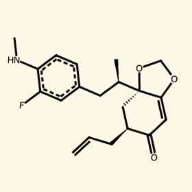 C=CC[C@H]1C[C@]2([C@H](C)Cc3ccc(NC)c(F)c3)OCOC2=CC1=O